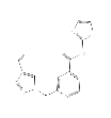 O=Cc1cnn(Cc2cccc(C(=O)Nc3nccs3)c2)c1